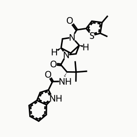 Cc1cc(C(=O)N2C[C@@H]3C[C@H]2CN3C(=O)[C@@H](NC(=O)c2cc3ccccc3[nH]2)C(C)(C)C)sc1C